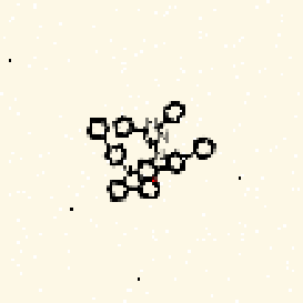 c1ccc(-c2ccc(N(c3ccc4c5ccc(-c6ccccc6)cc5n(-c5nc(-c6ccccc6)nc(-c6ccccc6)n5)c4c3)c3ccccc3-c3ccccc3)cc2)cc1